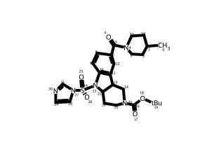 CC1CCN(C(=O)c2ccc3c(c2)C2CN(C(=O)OC(C)(C)C)CCC2N3S(=O)(=O)n2ccnc2)CC1